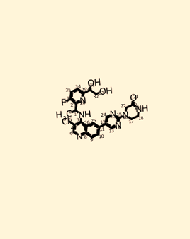 CC(Nc1c(Cl)cnc2ccc(-c3cnc(N4CCNC(=O)C4)nc3)cc12)c1nc(C(O)CO)ccc1F